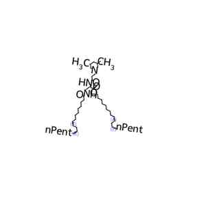 CCCCC/C=C\C/C=C\CCCCCCCCOC(=O)C(CNC(=O)CCCCCCC/C=C\C/C=C\CCCCC)NC(=O)CCN1CC(C)CC(C)C1